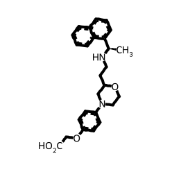 C[C@@H](NCCC1CN(c2ccc(OCC(=O)O)cc2)CCO1)c1cccc2ccccc12